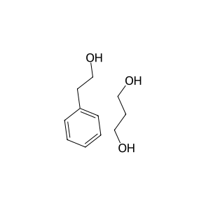 OCCCO.OCCc1ccccc1